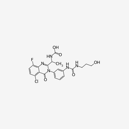 CC(NC(=O)O)c1nc2c(F)ccc(Cl)c2c(=O)n1-c1cccc(NC(=O)NCCCO)c1